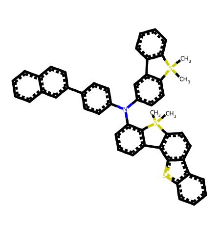 CS1(C)c2ccccc2-c2cc(N(c3ccc(-c4ccc5ccccc5c4)cc3)c3cccc4c3S(C)(C)c3ccc5c(sc6ccccc65)c3-4)ccc21